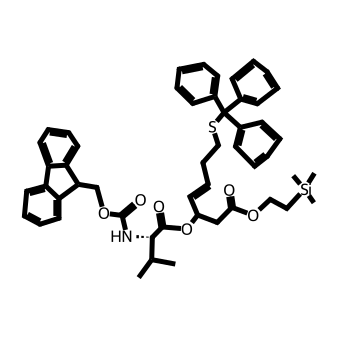 CC(C)[C@H](NC(=O)OCC1c2ccccc2-c2ccccc21)C(=O)OC(/C=C/CCSC(c1ccccc1)(c1ccccc1)c1ccccc1)CC(=O)OCC[Si](C)(C)C